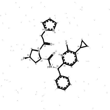 O=C(N[C@@H](c1ccccc1)c1ccc(C2CC2)c(F)n1)[C@@H]1C[C@@H](F)CN1C(=O)Cn1cccn1